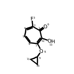 O=c1c(F)cccc(OC2CC2)c1O